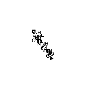 CC(C)Nc1cc(Nc2ccnc(-c3cnn(S(=O)(=O)C4CC4)c3)n2)ncc1C(=O)NC[C@@H]1CCCN1